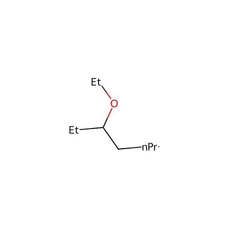 CC[CH]CC(CC)OCC